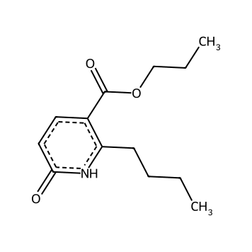 CCCCc1[nH]c(=O)ccc1C(=O)OCCC